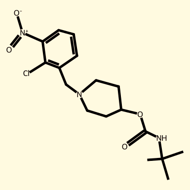 CC(C)(C)NC(=O)OC1CCN(Cc2cccc([N+](=O)[O-])c2Cl)CC1